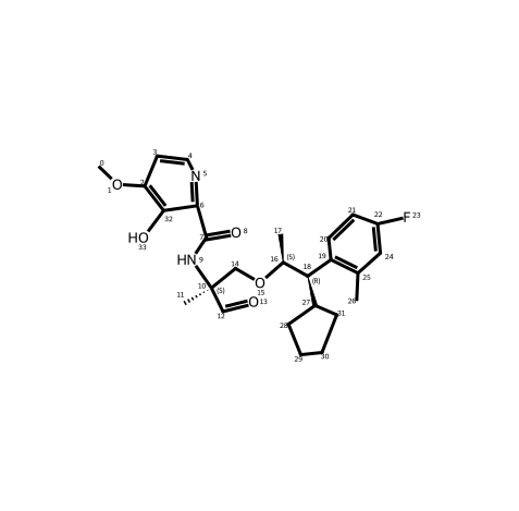 COc1ccnc(C(=O)N[C@](C)(C=O)CO[C@@H](C)[C@@H](c2ccc(F)cc2C)C2CCCC2)c1O